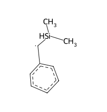 C[SiH](C)[CH]c1ccccc1